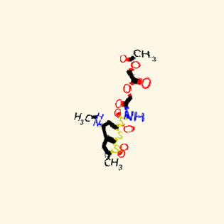 CCN[C@H]1C=C(S(=O)(=O)NC(=O)COC(=O)COC(C)=O)SC2=C1C[C@H](C)S2(=O)=O